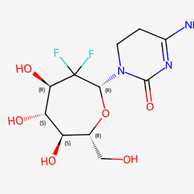 NC1=NC(=O)N([C@@H]2O[C@H](CO)[C@@H](O)[C@H](O)[C@@H](O)C2(F)F)CC1